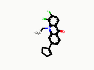 O=C(O)Cn1c2cc(C3=CCCC3)ccc2c(=O)c2ccc(Cl)c(Cl)c21